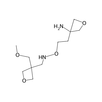 COCC1(CNOCCC2(N)COC2)COC1